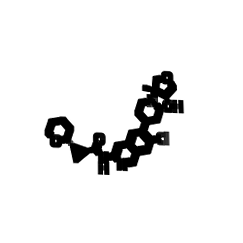 C[C@@]1(N2CCC(c3cc4cc(NC(=O)[C@H]5C[C@@H]5C5CCCCO5)ncc4cc3Cl)CC2)COC[C@@H]1O